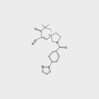 CC1(C)C[C@]2(C=C(C#N)C1=O)CCN(C(=O)c1ccc(-n3cccn3)cc1)C2